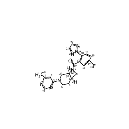 Cc1cc(N2CC[C@@H]3CN(C(=O)c4cc(F)ccc4-n4nccn4)[C@@H]3C2)ncn1